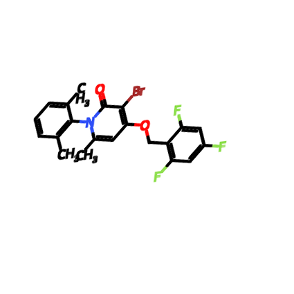 Cc1cccc(C)c1-n1c(C)cc(OCc2c(F)cc(F)cc2F)c(Br)c1=O